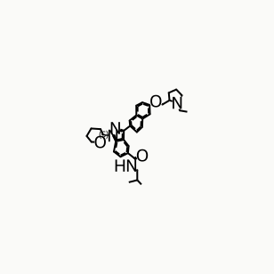 CCN1CCCC1COc1ccc2cc(-c3nn([C@@H]4CCCCO4)c4ccc(C(=O)NCC(C)C)cc34)ccc2c1